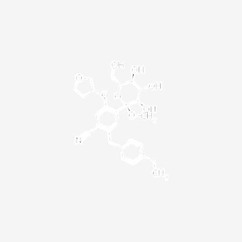 CCc1ccc(Cc2cc([C@]3(OC)O[C@H](CO)[C@@H](O)[C@H](O)[C@H]3O)c(O[C@@H]3CCOC3)cc2C#N)cc1